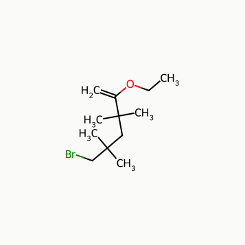 C=C(OCC)C(C)(C)CC(C)(C)CBr